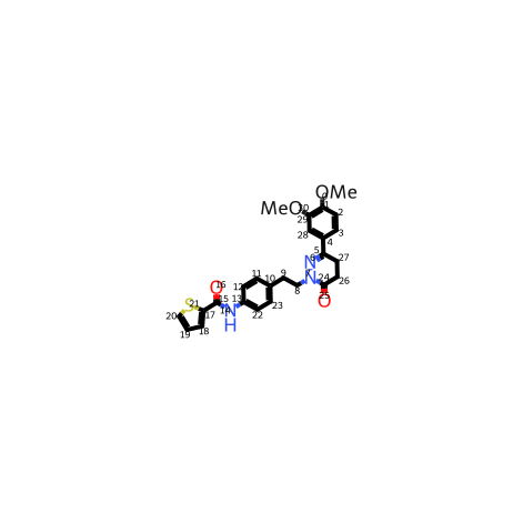 COc1ccc(C2=NN(CCc3ccc(NC(=O)c4cccs4)cc3)C(=O)CC2)cc1OC